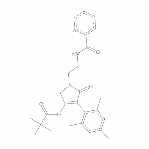 Cc1cc(C)c(C2=C(OC(=O)C(C)(C)C)CC(CCNC(=O)c3ccccn3)C2=O)c(C)c1